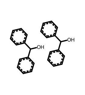 OC(c1ccccc1)c1ccccc1.OC(c1ccccc1)c1ccccc1